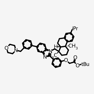 CC(C)c1ccc2c(c1)CC[C@H]1[C@@](C)(Cn3c(-c4cccc(OCC(=O)OC(C)(C)C)c4)nc4cc(-c5cccc(CN6CCOCC6)c5)ccc43)CCC[C@]21C